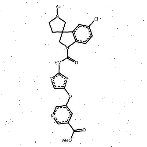 COC(=O)c1cncc(Oc2cnc(NC(=O)N3CC4(CCN(C(C)=O)C4)c4cc(Cl)ccc43)s2)c1